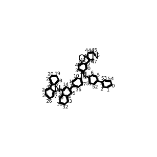 c1ccc(-c2ccc(N(c3ccc(-c4cc(-n5c6ccccc6c6ccccc65)c5ccccc5c4)cc3)c3ccc4oc5ccncc5c4c3)cc2)cc1